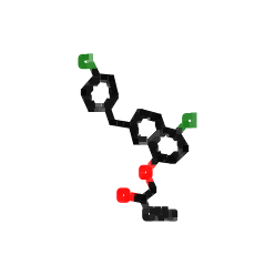 COC(=O)COc1ccc(Cl)c2ccc(Cc3ccc(Cl)cc3)cc12